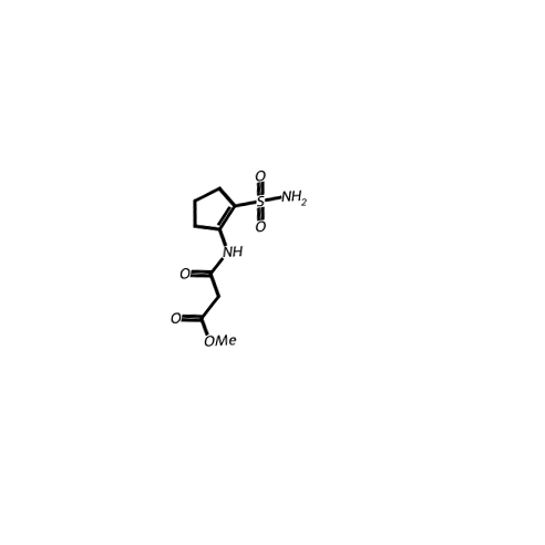 COC(=O)CC(=O)NC1=C(S(N)(=O)=O)CCC1